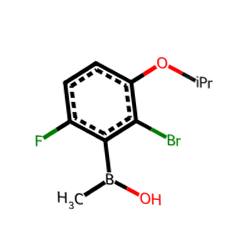 CB(O)c1c(F)ccc(OC(C)C)c1Br